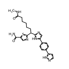 CNC(=O)CCCCCC(c1ncc(-c2ccc(-c3ccn[nH]3)cc2)[nH]1)c1ncc(C(N)=O)s1